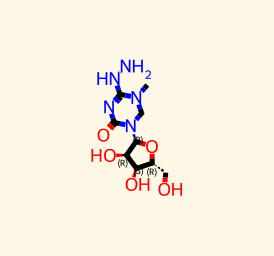 CN1CN([C@@H]2O[C@H](CO)[C@@H](O)[C@H]2O)C(=O)N=C1NN